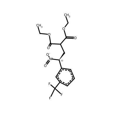 CCOC(=O)C(C[C@@H](c1cccc(C(F)(F)F)c1)[N+](=O)[O-])C(=O)OCC